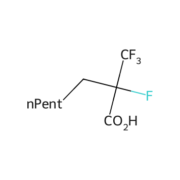 CCCCCCC(F)(C(=O)O)C(F)(F)F